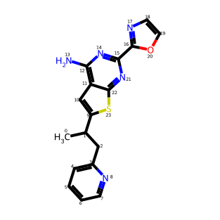 CC(Cc1ccccn1)c1cc2c(N)nc(-c3ncco3)nc2s1